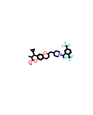 COC(=O)C(C)C(c1ccc2c(c1)OC(CC1CCN(C(C)c3cc(C(F)(F)F)ccc3C(F)(F)F)CC1)CC2)C1CC1